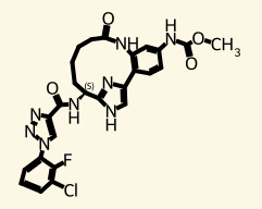 COC(=O)Nc1ccc2c(c1)NC(=O)CCCC[C@H](NC(=O)c1cn(-c3cccc(Cl)c3F)nn1)c1nc-2c[nH]1